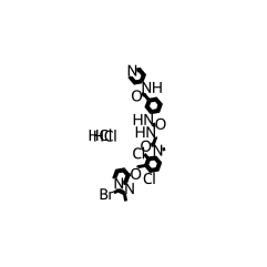 Cc1nc2c(OCc3c(Cl)ccc(N(C)C(=O)CNC(=O)Nc4cccc(C(=O)Nc5ccncc5)c4)c3Cl)cccn2c1Br.Cl.Cl